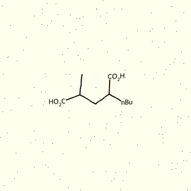 CCCCC(CC(C)C(=O)O)C(=O)O